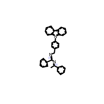 C/C(=N\C(=N/Cc1ccc(-n2c3ccccc3c3ccccc32)cc1)c1ccccc1)c1ccccc1